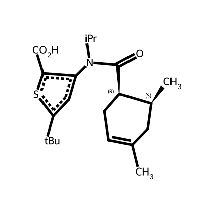 CC1=CC[C@@H](C(=O)N(c2cc(C(C)(C)C)sc2C(=O)O)C(C)C)[C@@H](C)C1